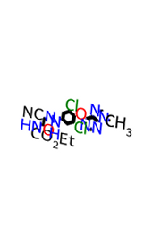 CCOC(=O)NC(=O)C(C#N)=NNc1cc(Cl)c(Oc2ncnc3c2ncn3C)c(Cl)c1